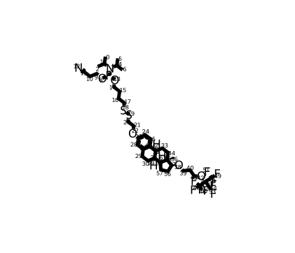 CC(C)N(C(C)C)P(OCCC#N)OCCCCSSCCOc1ccc2c(c1)CC[C@@H]1[C@@H]2CC[C@]2(C)[C@@H](OCCCOC(C(F)(F)F)(C(F)(F)F)C(F)(F)F)CC[C@@H]12